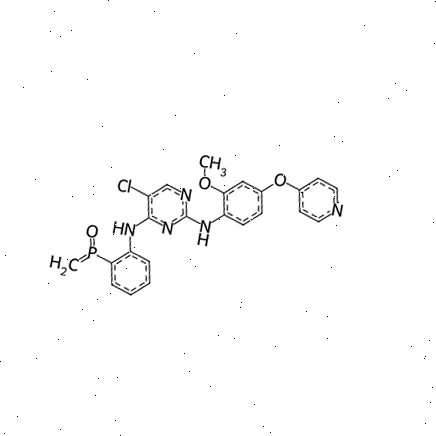 C=P(=O)c1ccccc1Nc1nc(Nc2ccc(Oc3ccncc3)cc2OC)ncc1Cl